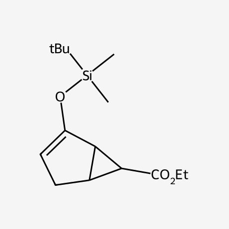 CCOC(=O)C1C2CC=C(O[Si](C)(C)C(C)(C)C)C21